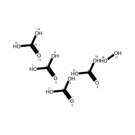 O=C(O)O.O=C(O)O.O=C(O)O.O=C(O)O.OO